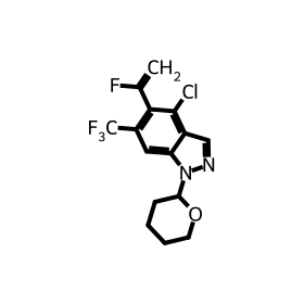 C=C(F)c1c(C(F)(F)F)cc2c(cnn2C2CCCCO2)c1Cl